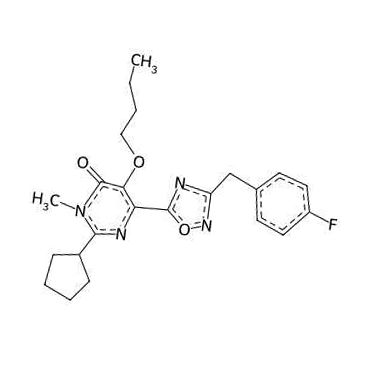 CCCCOc1c(-c2nc(Cc3ccc(F)cc3)no2)nc(C2CCCC2)n(C)c1=O